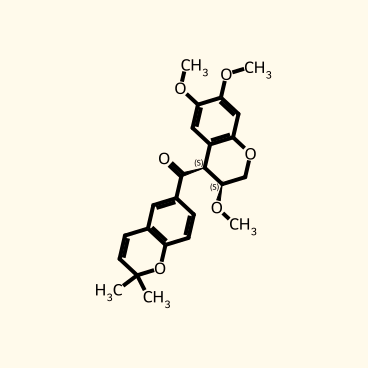 COc1cc2c(cc1OC)[C@H](C(=O)c1ccc3c(c1)C=CC(C)(C)O3)[C@H](OC)CO2